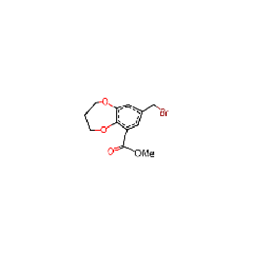 COC(=O)c1cc(CBr)cc2c1OCCCO2